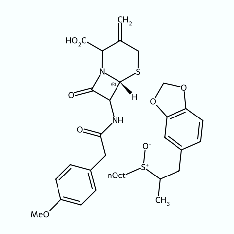 C=C1CS[C@@H]2C(NC(=O)Cc3ccc(OC)cc3)C(=O)N2C1C(=O)O.CCCCCCCC[S+]([O-])C(C)Cc1ccc2c(c1)OCO2